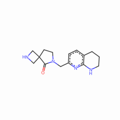 O=C1N(Cc2ccc3c(n2)NCCC3)CCC12CNC2